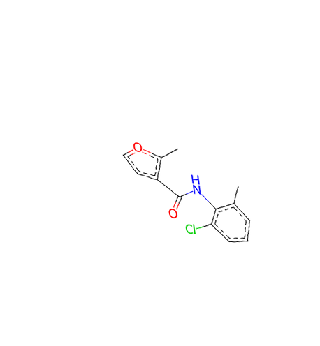 Cc1cccc(Cl)c1NC(=O)c1ccoc1C